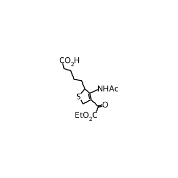 CCOC(=O)C(=O)C1=C(NC(C)=O)C(CCCCC(=O)O)SC1